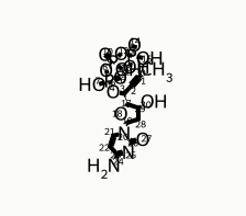 CC#CC(OP(=O)(O)OP(=O)(O)OP(=O)(O)O)[C@H]1O[C@@H](n2ccc(N)nc2=O)C[C@@H]1O